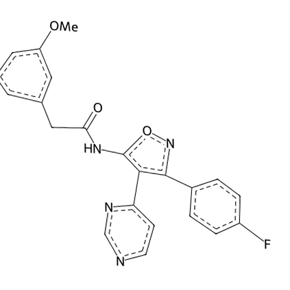 COc1cccc(CC(=O)Nc2onc(-c3ccc(F)cc3)c2-c2ccncn2)c1